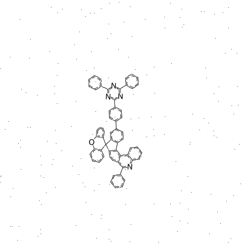 c1ccc(-c2nc(-c3ccccc3)nc(-c3ccc(-c4ccc5c(c4)C4(c6ccccc6Oc6ccccc64)c4ccc6c(-c7ccccc7)nc7ccccc7c6c4-5)cc3)n2)cc1